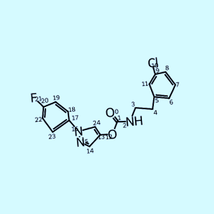 O=C(NCCc1cccc(Cl)c1)Oc1cnn(-c2ccc(F)cc2)c1